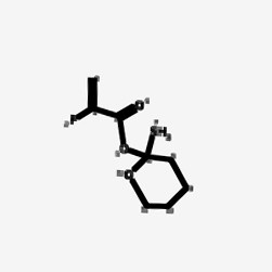 C=C(F)C(=O)OC1([SiH3])CCCCO1